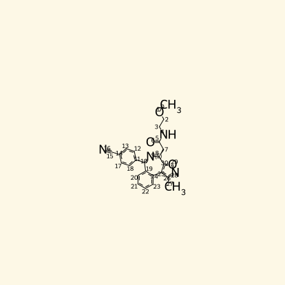 COCCNC(=O)C[C@@H]1N=C(c2ccc(C#N)cc2)c2ccccc2-c2c(C)noc21